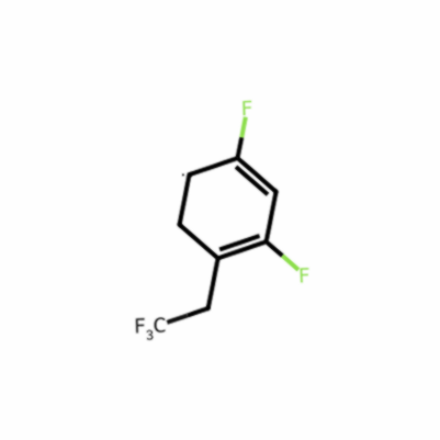 FC1=CC(F)=C(CC(F)(F)F)C[CH]1